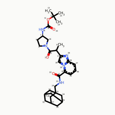 CC(C(=O)N1CC[C@@H](NC(=O)OC(C)(C)C)C1)c1cn2c(C(=O)NCC34CC5CC(CC(C5)C3)C4)cccc2n1